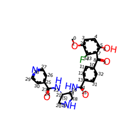 COc1ccc(O)c(C(=O)c2ccc(C(=O)N[C@@H]3CNC[C@@H]3NC(=O)c3ccncc3)cc2)c1F